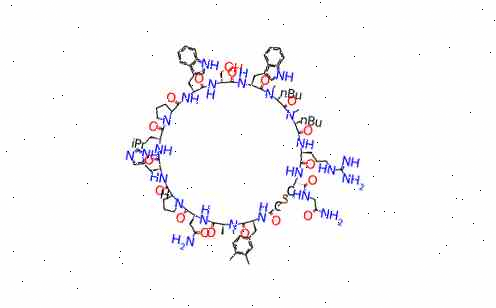 CCCC[C@H]1C(=O)N(C)[C@@H](CCCC)C(=O)N[C@@H](CCCNC(=N)N)C(=O)N[C@H](C(=O)NCC(N)=O)CSCC(=O)N[C@@H](Cc2ccc(C)c(C)c2)C(=O)N(C)[C@@H](C)C(=O)N[C@@H](CC(N)=O)C(=O)N2CCC[C@H]2C(=O)N[C@@H](Cc2cnc[nH]2)C(=O)N[C@@H](CC(C)C)C(=O)N2CCCC2C(=O)N[C@@H](Cc2c[nH]c3ccccc23)C(=O)N[C@@H](CO)C(=O)N[C@@H](Cc2c[nH]c3ccccc23)C(=O)N1C